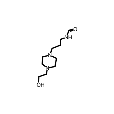 O=CNCCCN1CCN(CCO)CC1